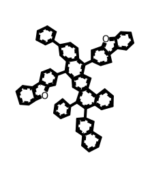 c1ccc(-c2ccc3c(-c4ccc5c(c4)oc4ccccc45)c4cc5c(cc4c(-c4ccc6c(c4)oc4ccccc46)c3c2)c(-c2ccccc2)c(-c2ccc3ccccc3c2)c2ccccc25)cc1